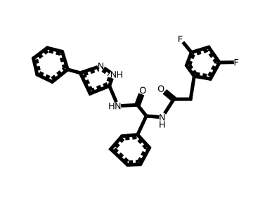 O=C(Cc1cc(F)cc(F)c1)NC(C(=O)Nc1cc(-c2ccccc2)n[nH]1)c1ccccc1